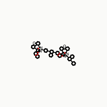 c1ccc(-c2cccc(-c3cccc4oc5cccc(-c6nc(-c7ccccc7)nc(-c7ccc(-c8ccc(-c9ccc(-c%10ccccc%10-c%10cccc%11oc%12cccc(-c%13nc(-c%14ccccc%14)nc(-c%14ccc(-c%15ccccc%15)c%15ccccc%14%15)n%13)c%12c%10%11)cc9)c9ccccc89)cc7)n6)c5c34)c2)cc1